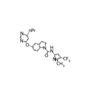 CCCc1cc(Oc2ccc3c(ccn3C(=O)Nc3cc(C(F)(F)F)n(C)n3)c2)ncn1